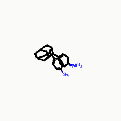 Nc1ccc(C2C3CC4CC(C3)C(c3ccc(N)cc3)C2C4)cc1